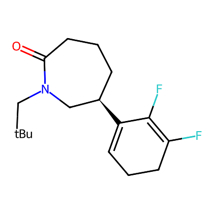 CC(C)(C)CN1C[C@H](C2=CCCC(F)=C2F)CCCC1=O